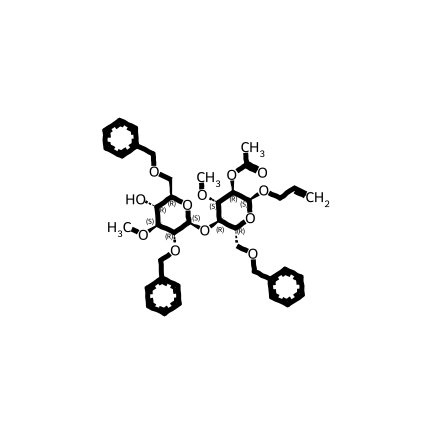 C=CCO[C@H]1O[C@H](COCc2ccccc2)[C@@H](O[C@@H]2O[C@H](COCc3ccccc3)[C@@H](O)[C@H](OC)[C@H]2OCc2ccccc2)[C@H](OC)[C@H]1OC(C)=O